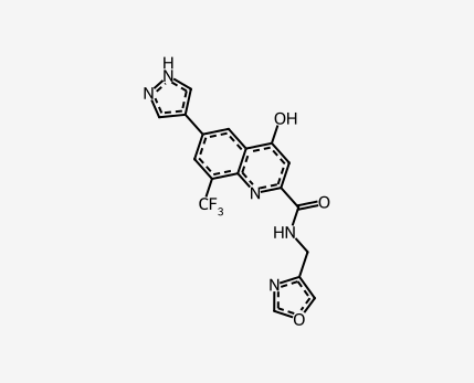 O=C(NCc1cocn1)c1cc(O)c2cc(-c3cn[nH]c3)cc(C(F)(F)F)c2n1